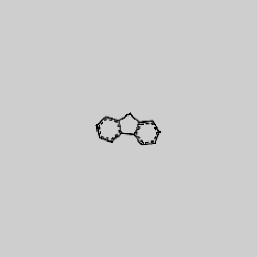 [c]1ccc2c(c1)[CH]c1c[c]ccc1-2